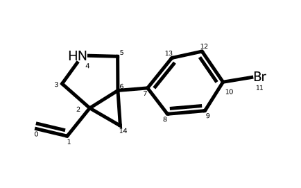 C=CC12CNCC1(c1ccc(Br)cc1)C2